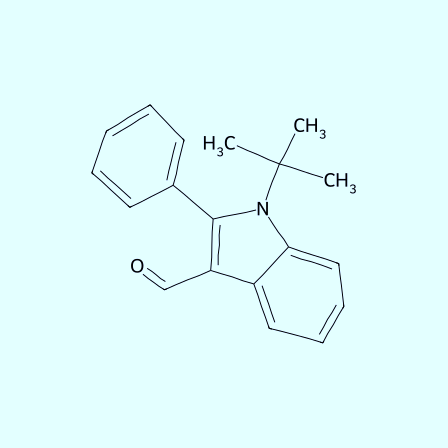 CC(C)(C)n1c(-c2ccccc2)c(C=O)c2ccccc21